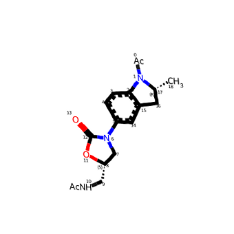 [CH2]C(=O)N1c2ccc(N3C[C@H](CNC(C)=O)OC3=O)cc2C[C@H]1C